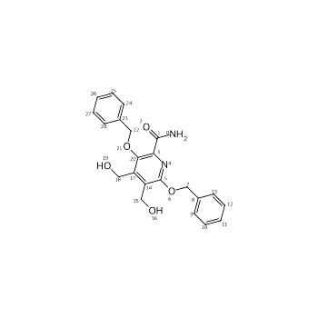 NC(=O)c1nc(OCc2ccccc2)c(CO)c(CO)c1OCc1ccccc1